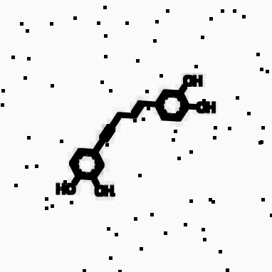 Oc1ccc(C#CC/C=C/c2ccc(O)c(O)c2)cc1O